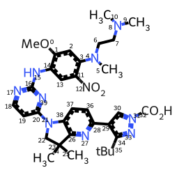 COc1cc(N(C)CCN(C)C)c([N+](=O)[O-])cc1Nc1nccc(N2CC(C)(C)c3nc(-c4cn(C(=O)O)nc4C(C)(C)C)ccc32)n1